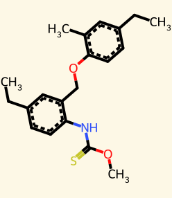 CCc1ccc(OCc2cc(CC)ccc2NC(=S)OC)c(C)c1